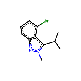 CC(C)c1c2c(Br)cccc2nn1C